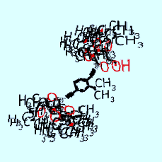 CC(C)c1cc(C#C[C@H]2O[C][C@@H](O[Si](C(C)C)(C(C)C)C(C)C)[C@@H](O[Si](C(C)C)(C(C)C)C(C)C)[C@@H]2O[Si](C(C)C)(C(C)C)C(C)C)ccc1C#C[C@H]1O[C@H](CO)[C@@H](O[Si](C(C)C)(C(C)C)C(C)C)[C@H](O[Si](C(C)C)(C(C)C)C(C)C)[C@@H]1O[Si](C(C)C)(C(C)C)C(C)C